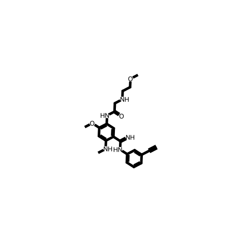 C#Cc1cccc(NC(=N)c2cc(NC(=O)CNCCOC)c(OC)cc2NC)c1